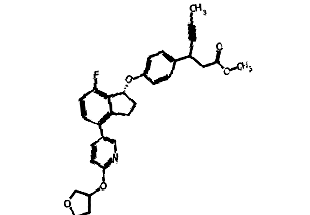 CC#CC(CC(=O)OC)c1ccc(O[C@@H]2CCc3c(-c4ccc(OC5CCOC5)nc4)ccc(F)c32)cc1